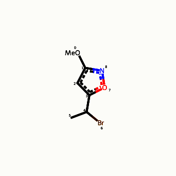 COc1cc(C(C)Br)on1